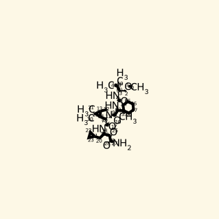 COC[C@@H](NC(=O)N[C@H](C(=O)N1CC2C([C@H]1C(=O)NC(CC1CC1)C(=O)C(N)=O)C2(C)C)C1(C)CCCCC1)C(C)C